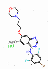 COc1cc2c(Nc3c(F)cc(Br)cc3F)ncnc2cc1OCCCN1CCOCC1.Cl